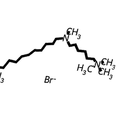 CCCCCCCCCCCCN(C)CCCCCC[N+](C)(C)C.[Br-]